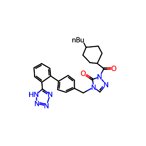 CCCCC1CCC(C(=O)n2ncn(Cc3ccc(-c4ccccc4-c4nnn[nH]4)cc3)c2=O)CC1